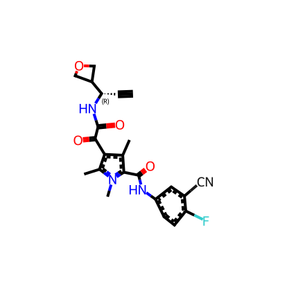 C#C[C@H](NC(=O)C(=O)c1c(C)c(C(=O)Nc2ccc(F)c(C#N)c2)n(C)c1C)C1COC1